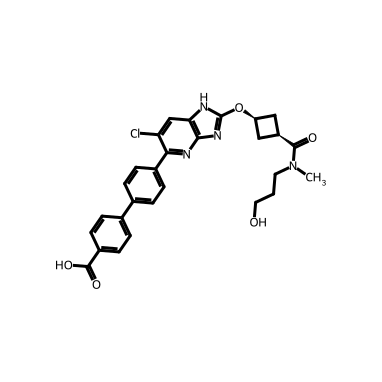 CN(CCCO)C(=O)[C@H]1C[C@@H](Oc2nc3nc(-c4ccc(-c5ccc(C(=O)O)cc5)cc4)c(Cl)cc3[nH]2)C1